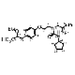 CCCC(CCC)CN(CCOc1ccc(CC(OCC)C(=O)O)cc1)C(=O)NC1CCCC1